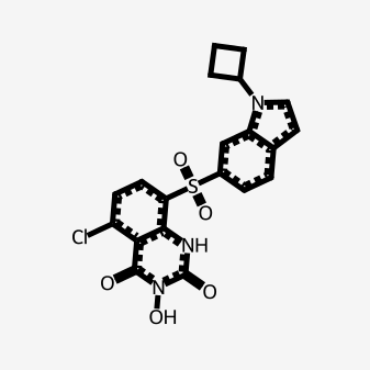 O=c1[nH]c2c(S(=O)(=O)c3ccc4ccn(C5CCC5)c4c3)ccc(Cl)c2c(=O)n1O